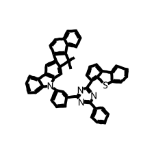 CC1(C)c2cc3c(cc2-c2ccc4ccccc4c21)c1ccccc1n3-c1cccc(-c2nc(-c3ccccc3)nc(-c3cccc4c3sc3ccccc34)n2)c1